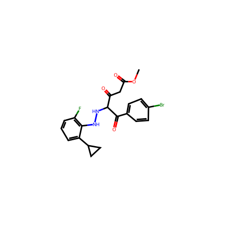 COC(=O)CC(=O)C(NNc1c(F)cccc1C1CC1)C(=O)c1ccc(Br)cc1